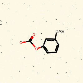 COc1cccc(OC([O])=O)c1